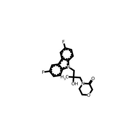 CC(O)(CN1CCOCC1=O)Cn1c2ccc(F)cc2c2cc(F)ccc21